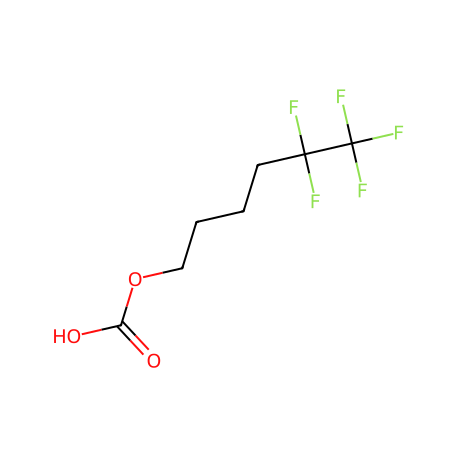 O=C(O)OCCCCC(F)(F)C(F)(F)F